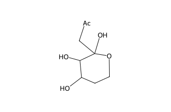 CC(=O)CC1(O)OCCC(O)C1O